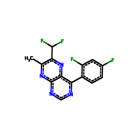 Cc1nc2ncnc(-c3ccc(F)cc3F)c2nc1C(F)F